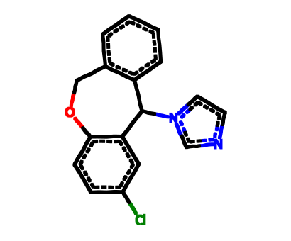 Clc1ccc2c(c1)C(n1ccnc1)c1ccccc1CO2